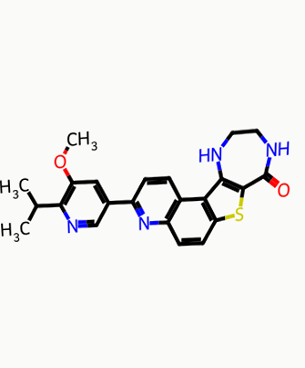 COc1cc(-c2ccc3c(ccc4sc5c(c43)NCCNC5=O)n2)cnc1C(C)C